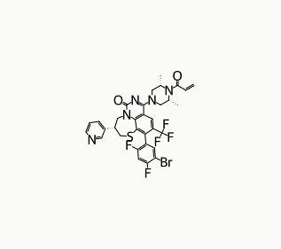 C=CC(=O)N1[C@H](C)CN(c2nc(=O)n3c4c(c(-c5cc(Br)c(F)cc5F)c(C(F)(F)F)cc24)SC[C@H](c2cccnc2)C3)C[C@@H]1C